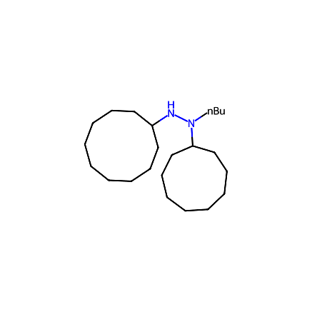 CCCCN(NC1CCCCCCCCC1)C1CCCCCCCC1